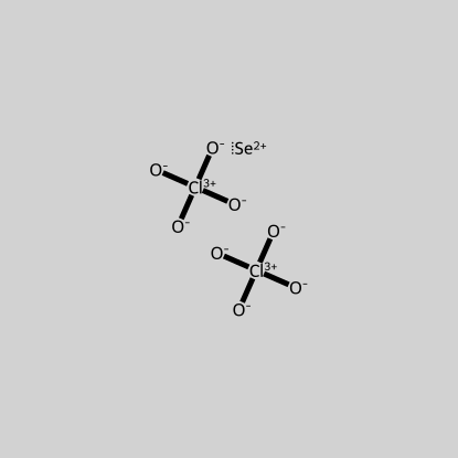 [O-][Cl+3]([O-])([O-])[O-].[O-][Cl+3]([O-])([O-])[O-].[Se+2]